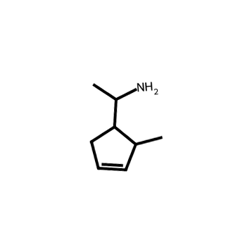 CC(N)C1CC=CC1C